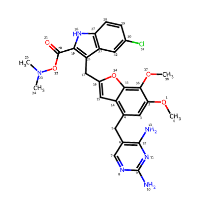 COc1cc(Cc2cnc(N)nc2N)c2cc(Cc3c(C(=O)ON(C)C)[nH]c4ccc(Cl)cc34)oc2c1OC